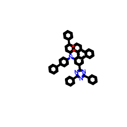 c1ccc(-c2ccc(N(c3ccc(-c4ccccc4)cc3)c3cc(-c4nc(-c5ccccc5)nc(-c5ccccc5)n4)cc4c5ccccc5c5ccccc5c34)cc2)cc1